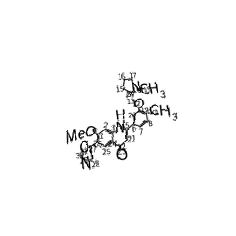 COc1cc2[nH]c(-c3ccc(C)c(OC[C@@H]4CCCN4C)c3)cc(=O)c2cc1-c1cnco1